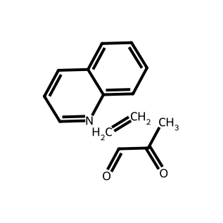 C=C.CC(=O)C=O.c1ccc2ncccc2c1